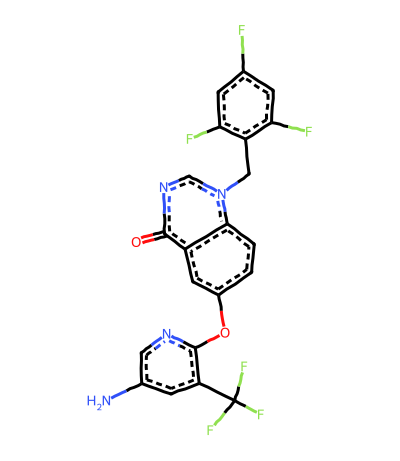 Nc1cnc(Oc2ccc3c(c2)c(=O)ncn3Cc2c(F)cc(F)cc2F)c(C(F)(F)F)c1